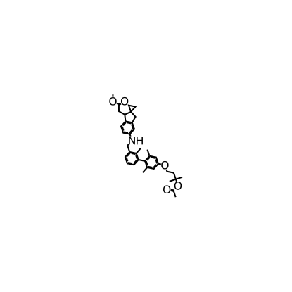 COC(=O)CC1c2ccc(NCc3cccc(-c4c(C)cc(OCCC(C)(C)OC(C)=O)cc4C)c3C)cc2CC12CC2